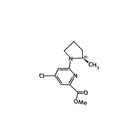 COC(=O)c1cc(Cl)cc(N2CCC[C@H]2C)n1